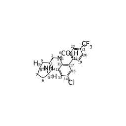 O=C(O)N(C[C@H]1C[C@H]2CC[C@@H](C1)N2)c1ccc(Cl)cc1-c1ccc(C(F)(F)F)cc1